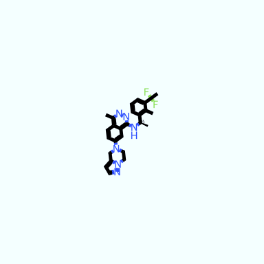 Cc1c([C@@H](C)Nc2nnc(C)c3ccc(N4CCn5nccc5C4)cc23)cccc1C(C)(F)F